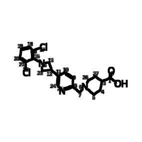 O=C(O)C1CCN(Cc2ccc(C3CN(c4c(Cl)cccc4Cl)C3)cn2)CC1